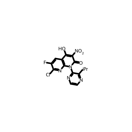 CC(C)c1nccnc1-n1c(=O)c([N+](=O)[O-])c(O)c2cc(F)c(Cl)nc21